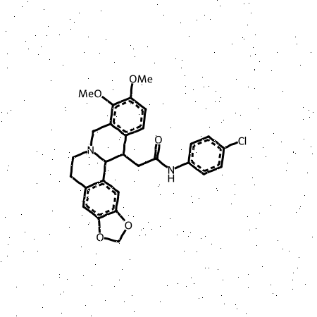 COc1ccc2c(c1OC)CN1CCc3cc4c(cc3C1C2CC(=O)Nc1ccc(Cl)cc1)OCO4